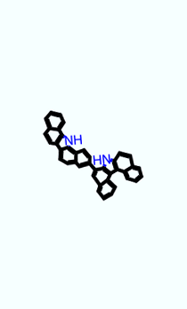 c1ccc2c(c1)ccc1c3ccc4cc(-c5cc6ccccc6c6c5[nH]c5ccc7ccccc7c56)ccc4c3[nH]c21